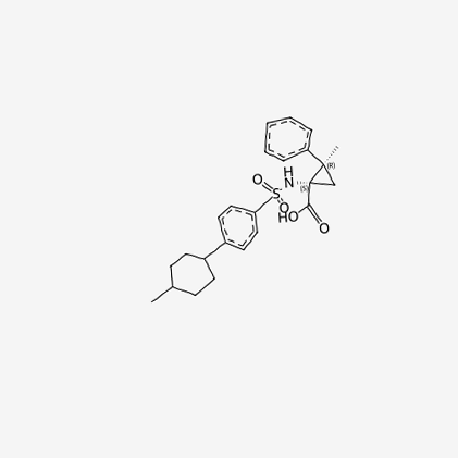 CC1CCC(c2ccc(S(=O)(=O)N[C@@]3(C(=O)O)C[C@]3(C)c3ccccc3)cc2)CC1